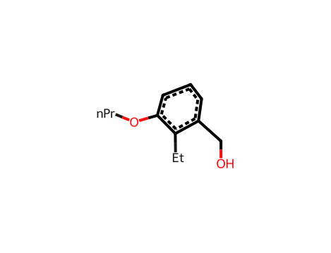 CCCOc1cccc(CO)c1CC